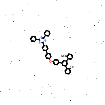 N#Cc1ccccc1-c1cc(-c2ccc(Oc3ccc(-c4ccc(-c5nc(-c6ccccc6)nc(-c6ccccc6)n5)cc4)cc3)cc2)cc(-c2ccccc2C#N)c1